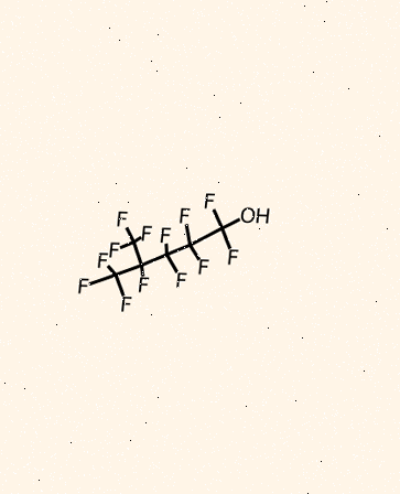 OC(F)(F)C(F)(F)C(F)(F)C(F)(C(F)(F)F)C(F)(F)F